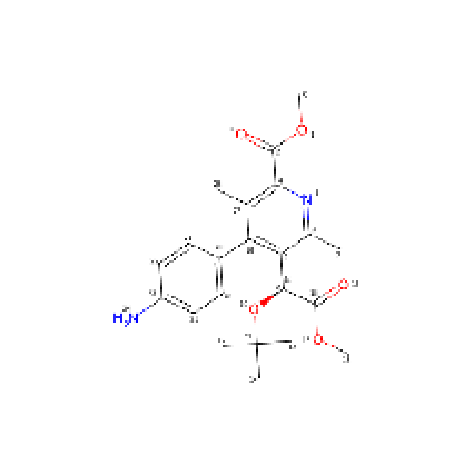 COC(=O)c1nc(C)c([C@H](OC(C)(C)C)C(=O)OC)c(-c2ccc(N)cc2)c1C